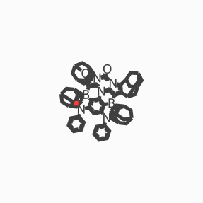 O=c1n2c3c(c4c2n2c5c(c6c(n15)C1CC5CC(CC6C5)C1)B1C5=C(C6CC7CC(CC5C7)C6)N(c5ccccc5)c5cc6c(c-2c51)B4C1=C(C2CC4CC(CC1C4)C2)N6c1ccccc1)C1CC2CC(C1)CC3C2